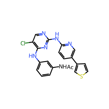 CC(=O)Nc1cccc(Nc2nc(Nc3ccc(-c4ccsc4)cn3)ncc2Cl)c1